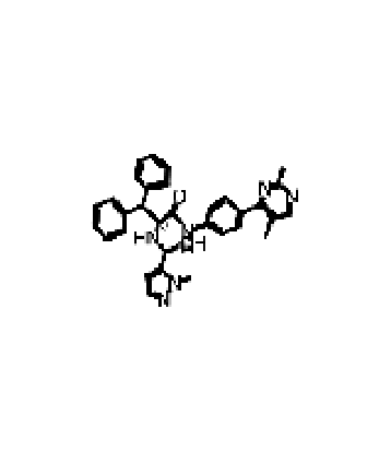 Cc1ncc(C)c(-c2ccc(NC(=O)[C@@H](NC(O)c3ccnn3C)C(c3ccccc3)c3ccccc3)cc2)n1